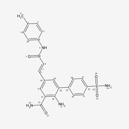 Cc1ccc(NC(=O)/C=C/c2cc(C(N)=O)c(N)c(-c3ccc(S(N)(=O)=O)cc3)c2)cc1